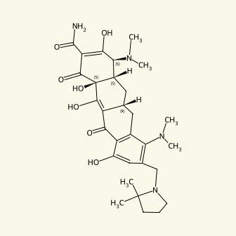 CN(C)c1c(CN2CCCC2(C)C)cc(O)c2c1C[C@H]1C[C@H]3[C@H](N(C)C)C(O)=C(C(N)=O)C(=O)[C@@]3(O)C(O)=C1C2=O